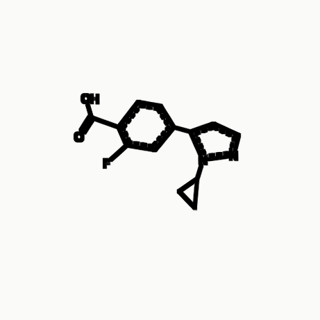 O=C(O)c1ccc(-c2ccnn2C2CC2)cc1F